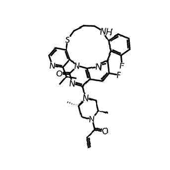 C=CC(=O)N1C[C@H](C)N(c2nc(=O)n3c4nc(c(F)cc24)-c2c(F)cccc2NCCCSc2ccnc(C(C)C)c2-3)C[C@H]1C